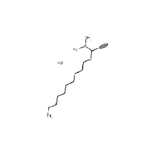 CCCCCCCCCCSC(C#N)N(C)C.Cl